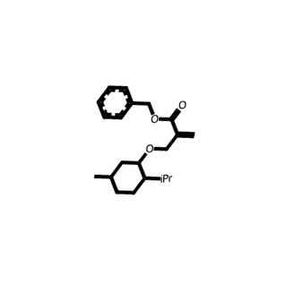 C=C(COC1CC(C)CCC1C(C)C)C(=O)OCc1ccccc1